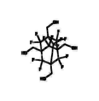 OCC12C(F)(F)C3(CO)C(F)(F)C(CO)(C1(F)F)C(F)(F)C(CO)(C2(F)F)C3(F)F